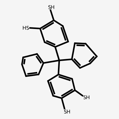 Sc1ccc(C(c2ccccc2)(c2ccccc2)c2ccc(S)c(S)c2)cc1S